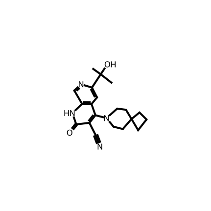 CC(C)(O)c1cc2c(N3CCC4(CCC4)CC3)c(C#N)c(=O)[nH]c2cn1